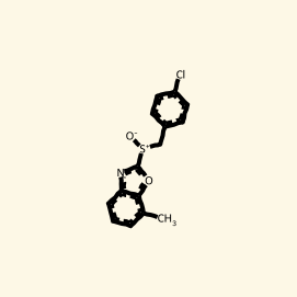 Cc1cccc2nc([S+]([O-])Cc3ccc(Cl)cc3)oc12